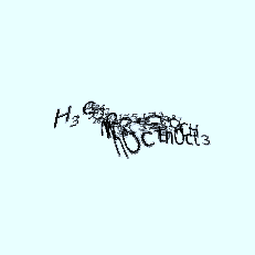 CCCCCCCCC1(CCCCCCCC)c2cc(C)ccc2-c2ccc(-c3ccc(-c4nnc(-c5ccc(C)cc5)o4)cc3)cc21